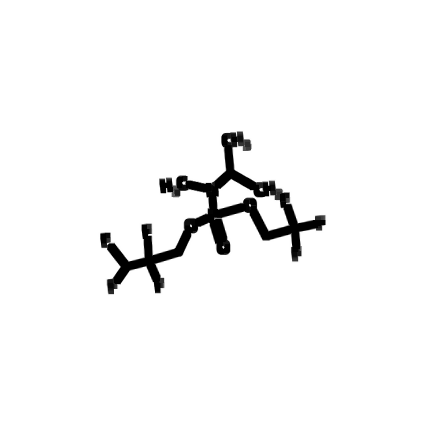 CC(C)N(C)P(=O)(OCC(F)(F)F)OCC(F)(F)C(F)F